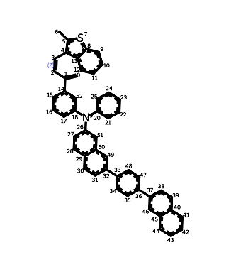 C=C(/C=C\c1c(C)sc2ccccc12)c1cccc(N(c2ccccc2)c2ccc3ccc(-c4ccc(-c5ccc6ccccc6c5)cc4)cc3c2)c1